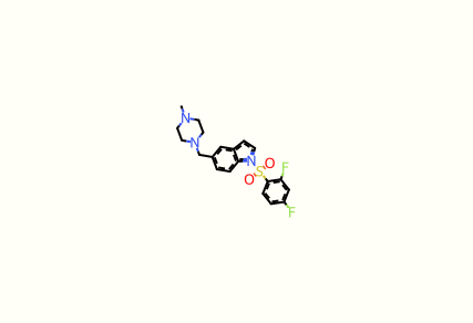 CN1CCN(Cc2ccc3c(ccn3S(=O)(=O)c3ccc(F)cc3F)c2)CC1